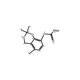 CNC(=O)Oc1ccc(C)c2c1OC(C)(C)OC2